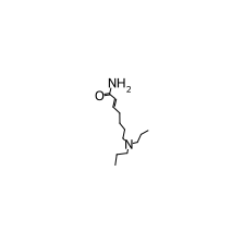 CCCN(CCC)CCCCC=CC(N)=O